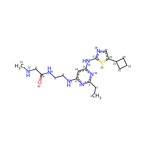 CCc1nc(NCCNC(=O)CNC)cc(Nc2ncc(C3CCC3)s2)n1